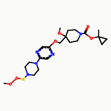 COOSN1CCN(c2cnc(OCC3(OC)CCN(C(=O)OC4(C)CC4)CC3)cn2)CC1